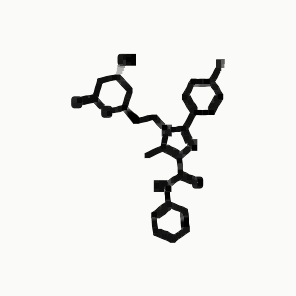 Cc1c(C(=O)Nc2ccccc2)nc(-c2ccc(F)cc2)n1CC[C@@H]1C[C@@H](O)CC(=O)O1